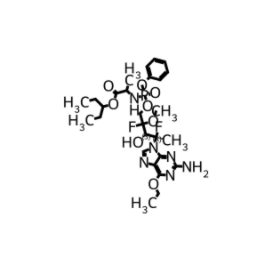 CCOc1nc(N)nc2c1ncn2[C@](C)(F)[C@H](O)C(F)(COP(=O)(NC(C)C(=O)OC(CC)CC)Oc1ccccc1)OC